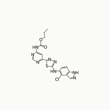 CCCOC(=O)Nc1cc(-c2nnc(Nc3ccc4[nH]ncc4c3Cl)s2)ncn1